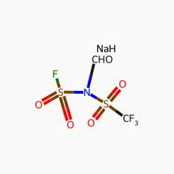 O=CN(S(=O)(=O)F)S(=O)(=O)C(F)(F)F.[NaH]